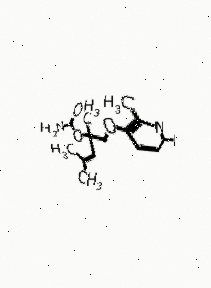 Cc1nc(I)ccc1OCC(C)(CC(C)C)OC(N)=O